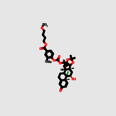 COc1cc(C(=O)OCCCCO[N+](=O)[O-])ccc1OC(=O)OCC(=O)[C@@]12OC(C)(C)O[C@@H]1C[C@H]1C3CCC4=CC(=O)C=C[C@]4(C)[C@@]3(F)[C@@H](O)C[C@@]12C